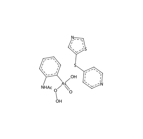 CC(=O)Nc1ccccc1[As](=O)(O)OO.c1cc(Sc2cncs2)ccn1